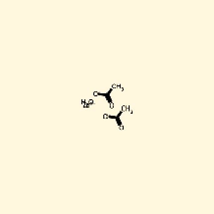 CC(=O)[O-].CC(=O)[O-].O.[Zn+2]